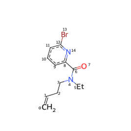 C=CCCN(CC)C(=O)c1cccc(Br)n1